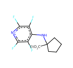 CCOC(=O)C1(Nc2c(F)c(F)nc(F)c2F)CCCC1